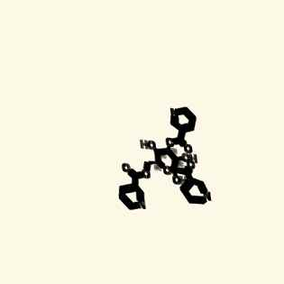 O=C(OC[C@H]1O[C@@](O)(C(=O)c2cccnc2)[C@H](O)[C@@H](OC(=O)c2cccnc2)[C@@H]1O)c1cccnc1